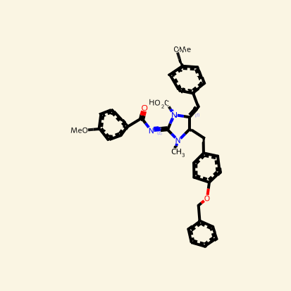 COc1ccc(/C=C2/C(Cc3ccc(OCc4ccccc4)cc3)N(C)/C(=N/C(=O)c3ccc(OC)cc3)N2C(=O)O)cc1